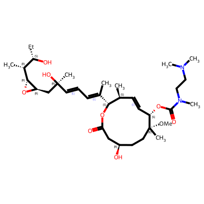 CC[C@H](O)[C@@H](C)[C@H]1O[C@@H]1C[C@@](C)(O)/C=C/C=C(\C)[C@H]1OC(=O)C[C@H](O)CC[C@@](C)(OC)[C@@H](OC(=O)N(C)CCN(C)C)/C=C/[C@@H]1C